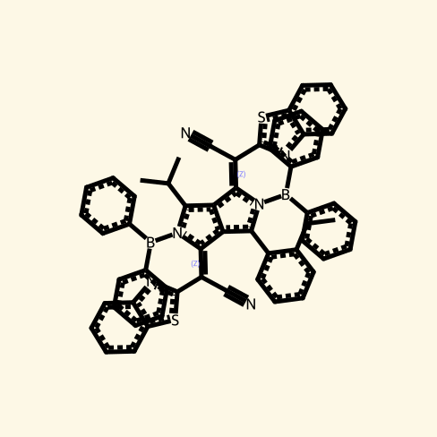 CCc1ccccc1-c1c2/c(=C(\C#N)c3nc4ccccc4s3)n(B(c3ccccc3)c3ccccc3)c(C(C)C)c2/c(=C(\C#N)c2nc3ccccc3s2)n1B(c1ccccc1)c1ccccc1